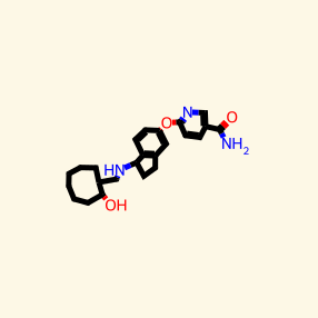 NC(=O)c1ccc(Oc2ccc3c(c2)CCC3NCC2CCCCCCC2O)nc1